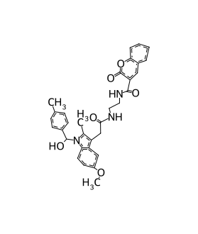 COc1ccc2c(c1)c(CC(=O)NCCNC(=O)c1cc3ccccc3oc1=O)c(C)n2C(O)c1ccc(C)cc1